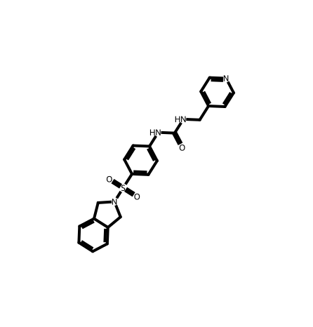 O=C(NCc1ccncc1)Nc1ccc(S(=O)(=O)N2Cc3ccccc3C2)cc1